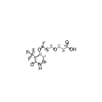 C[C@H](Oc1cn[nH]c(=O)c1C(F)(F)F)SCOCCC(=O)O